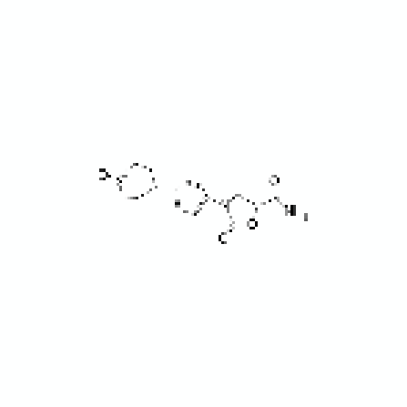 NC(=O)C1CN(c2ccc([C@H]3CC[S@+]([O-])CC3)cc2)C(=O)O1